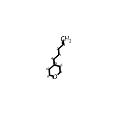 C=CCCCC1CCOCC1